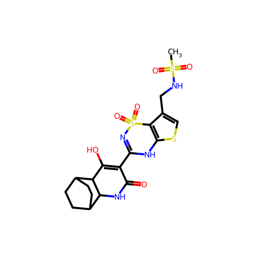 CS(=O)(=O)NCc1csc2c1S(=O)(=O)N=C(C1=C(O)C3C4CCC(CC4)C3NC1=O)N2